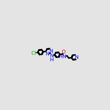 O=C(NCCc1ccncc1)c1ccc(Nc2nccc(-c3ccc(Cl)cc3)n2)cc1